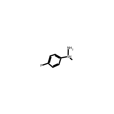 C[SH](N)c1ccc(F)cc1